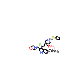 COc1ccc2ncc(CN3CCOCC3)c([C@@H](F)CCC3(CO)CCN(CCSC4CCCC4)CC3)c2c1